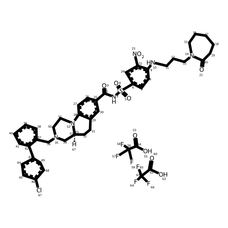 O=C(NS(=O)(=O)c1ccc(NCCCN2CCCCCC2=O)c([N+](=O)[O-])c1)c1ccc2c(c1)CC[C@H]1CN(Cc3ccccc3-c3ccc(Cl)cc3)CCN21.O=C(O)C(F)(F)F.O=C(O)C(F)(F)F